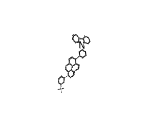 CC(C)(C)c1cccc(-c2ccc3ccc4c(-c5cccc(-n6c7ccccc7c7ccccc76)c5)ccc5ccc2c3c54)c1